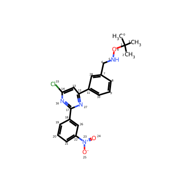 CC(C)(C)ONCc1cccc(-c2cc(Cl)nc(-c3cccc([N+](=O)[O-])c3)n2)c1